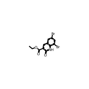 CCOC(=O)c1cc2cc(Br)cc(Br)c2[nH]c1=O